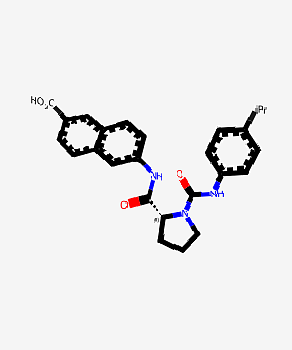 CC(C)c1ccc(NC(=O)N2CCC[C@@H]2C(=O)Nc2ccc3cc(C(=O)O)ccc3c2)cc1